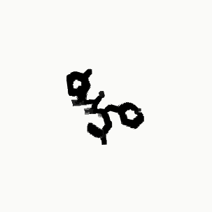 Cc1cccc(NC(=O)N[C@@H](CC2CCCCC2)CN(C)C)c1